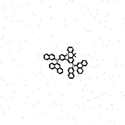 CC1(C)c2ccccc2-n2c3ccc(N(c4ccc5ccccc5c4)c4cc5ccccc5c5ccccc45)cc3c3cc(N(c4ccc5ccccc5c4)c4cc5ccccc5c5c4C=CCC5)cc1c32